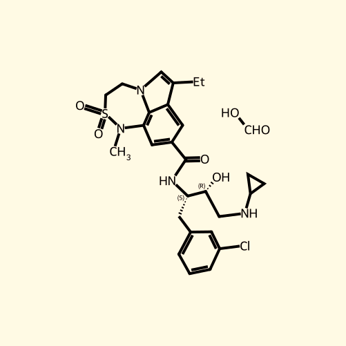 CCc1cn2c3c(cc(C(=O)N[C@@H](Cc4cccc(Cl)c4)[C@H](O)CNC4CC4)cc13)N(C)S(=O)(=O)CC2.O=CO